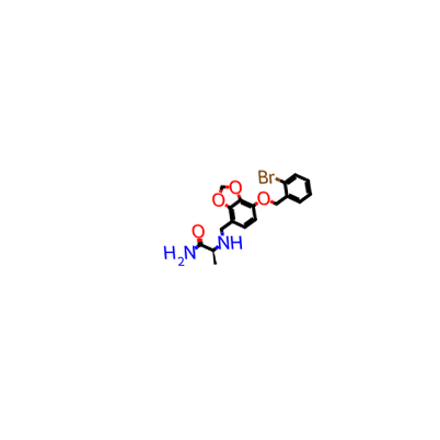 C[C@H](NCc1ccc(OCc2ccccc2Br)c2c1OCO2)C(N)=O